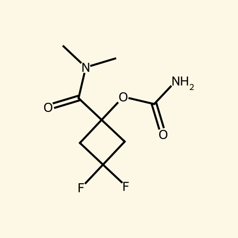 CN(C)C(=O)C1(OC(N)=O)CC(F)(F)C1